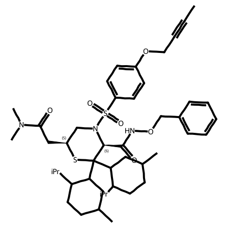 CC#CCOc1ccc(S(=O)(=O)N2C[C@H](CC(=O)N(C)C)SC(C3CC(C)CCC3C(C)C)(C3CC(C)CCC3C(C)C)[C@@H]2C(=O)NOCc2ccccc2)cc1